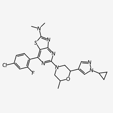 CC1CN(c2nc(-c3ccc(Cl)cc3F)c3sc(N(C)C)nc3n2)CC(c2cnn(C3CC3)c2)O1